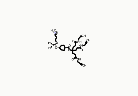 C#CCNC(=O)CCC(CCC(=O)NCC#C)(CCC(=O)NCC#C)NC(=O)[C@H]1CC[C@H](OP(OCC/C=N/C)N(C(C)C)C(C)C)CC1